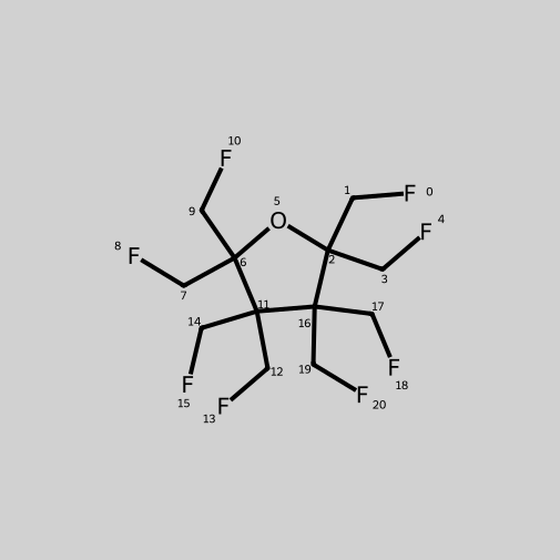 FCC1(CF)OC(CF)(CF)C(CF)(CF)C1(CF)CF